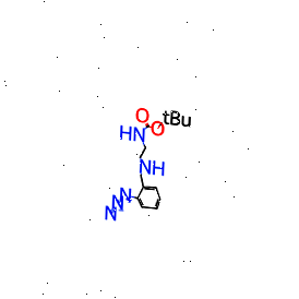 CC(C)(C)OC(=O)NCCNCc1ccccc1N=[N+]=[N-]